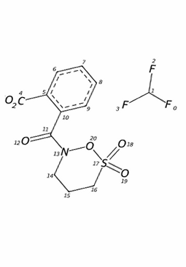 FC(F)F.O=C(O)c1ccccc1C(=O)N1CCCS(=O)(=O)O1